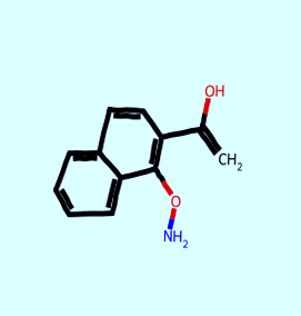 C=C(O)c1ccc2ccccc2c1ON